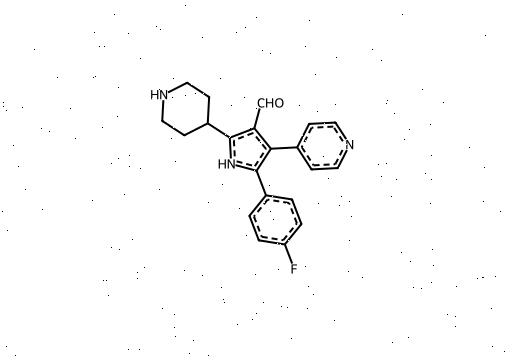 O=Cc1c(C2CCNCC2)[nH]c(-c2ccc(F)cc2)c1-c1ccncc1